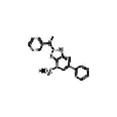 CN(c1ccccc1)c1nc2nc(-c3ccccc3)cc(C(=O)O)c2s1